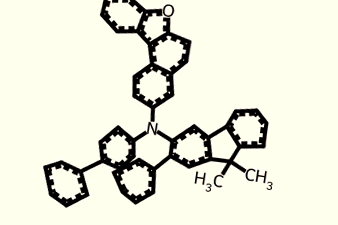 CC1(C)c2ccccc2-c2cc(N(c3ccc(-c4ccccc4)cc3)c3ccc4c(ccc5oc6ccccc6c54)c3)c(-c3ccccc3)cc21